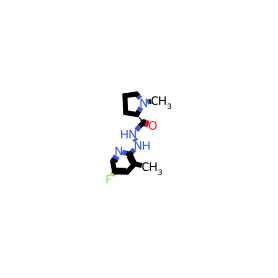 Cc1cc(F)cnc1NNC(=O)[C@@H]1CCCN1C